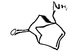 NC12C=CC(C1)C(=O)C2